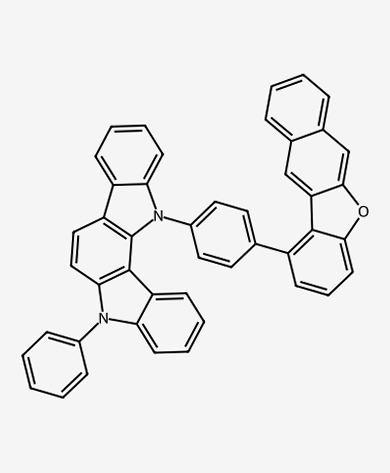 c1ccc(-n2c3ccccc3c3c2ccc2c4ccccc4n(-c4ccc(-c5cccc6oc7cc8ccccc8cc7c56)cc4)c23)cc1